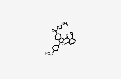 NC1CN(C(=O)C2CCc3c(C4=CCC(C(=O)O)CC4)nn(C(=O)c4c(Cl)cccc4C4CC4)c3C2)C1